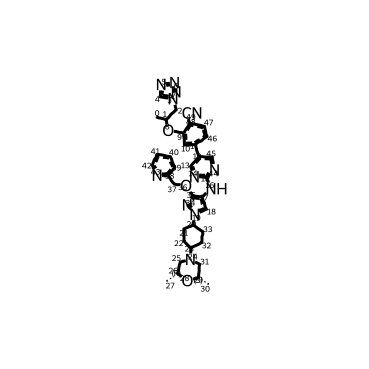 CC(Cn1cnnn1)Oc1cc(-c2cnc(Nc3cn(C4CCC(N5C[C@@H](C)O[C@@H](C)C5)CC4)nc3OCc3ccccn3)nc2)ccc1C#N